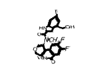 CN(C(=O)c1cc2c(CO)cc(F)cc2[nH]1)[C@H]1COCc2[nH]c(=O)c3cc(F)c(F)cc3c21